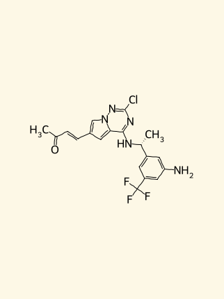 CC(=O)/C=C/c1cc2c(N[C@H](C)c3cc(N)cc(C(F)(F)F)c3)nc(Cl)nn2c1